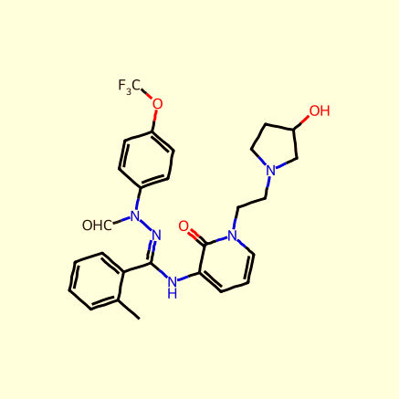 Cc1ccccc1/C(=N\N(C=O)c1ccc(OC(F)(F)F)cc1)Nc1cccn(CCN2CCC(O)C2)c1=O